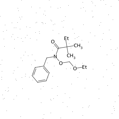 CCOCON(Cc1ccccc1)C(=O)C(C)(C)CC